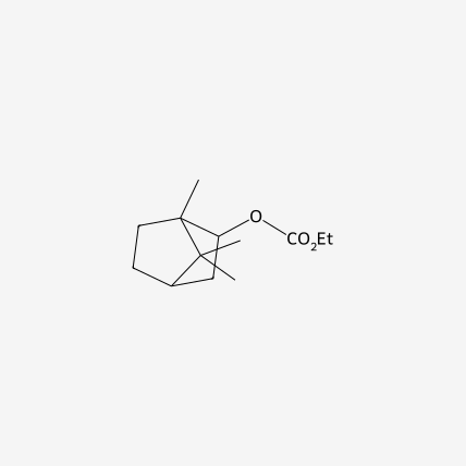 CCOC(=O)OC1CC2CCC1(C)C2(C)C